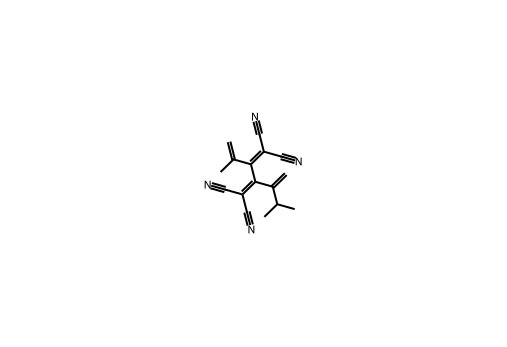 C=C(C)C(=C(C#N)C#N)C(C(=C)C(C)C)=C(C#N)C#N